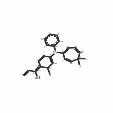 C=C/C(CC)=C1\C=CC(N(C2=CC=CC(C)(C)C=C2)c2ccccc2)=CC1C